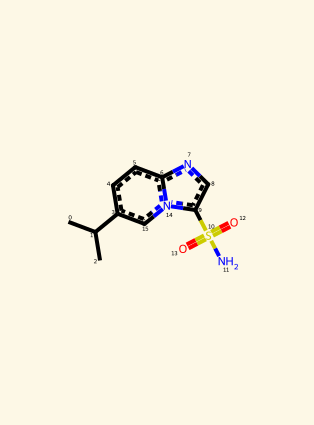 CC(C)c1ccc2ncc(S(N)(=O)=O)n2c1